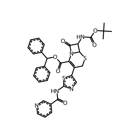 CC(C)(C)OC(=O)NC1C(=O)N2C(C(=O)OC(c3ccccc3)c3ccccc3)=C(c3cnc(NC(=O)c4cccnc4)s3)CSC12